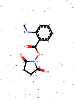 CNc1ccccc1C(=O)ON1C(=O)CCC1=O